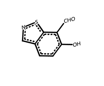 O=Cc1c(O)ccc2cnsc12